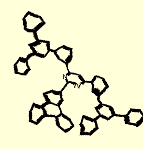 c1ccc(-c2cc(-c3ccccc3)cc(-c3cccc(-c4cc(-c5cccc(-c6cc(-c7ccccc7)cc(-c7ccccc7)c6)c5)nc(-c5ccc6c7ccccc7c7ccccc7c6c5)n4)c3)c2)cc1